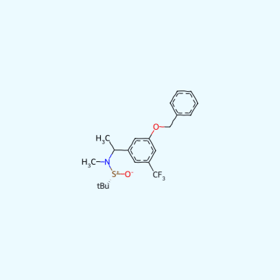 CC(c1cc(OCc2ccccc2)cc(C(F)(F)F)c1)N(C)[S@+]([O-])C(C)(C)C